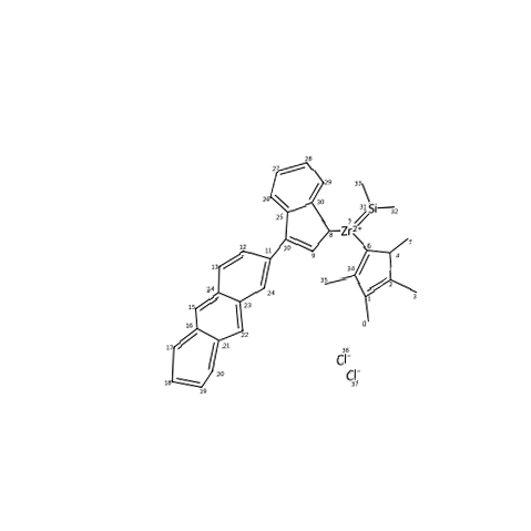 CC1=C(C)C(C)[C]([Zr+2]([CH]2C=C(c3ccc4cc5ccccc5cc4c3)c3ccccc32)=[Si](C)C)=C1C.[Cl-].[Cl-]